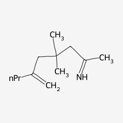 C=C(CCC)CC(C)(C)CC(C)=N